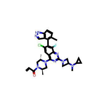 C=CC(=O)N1C[C@H](C)N(c2nc(N3CC(N(C)C4CC4)C3)nc3c(F)c(-c4c(C)ccc5[nH]ncc45)c(Cl)cc23)C[C@H]1C